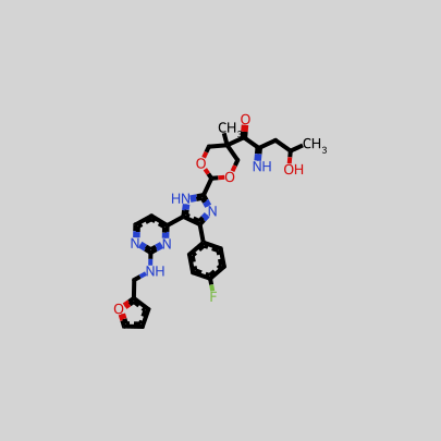 CC(O)CC(=N)C(=O)C1(C)COC(c2nc(-c3ccc(F)cc3)c(-c3ccnc(NCc4ccco4)n3)[nH]2)OC1